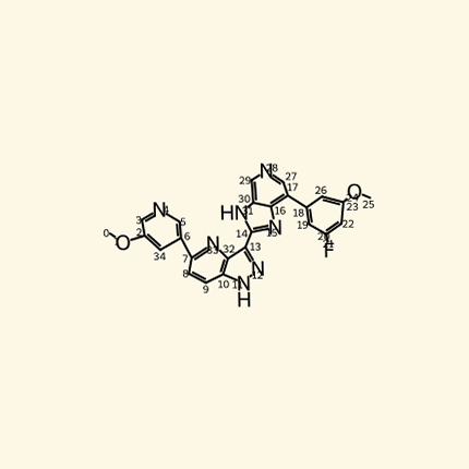 COc1cncc(-c2ccc3[nH]nc(-c4nc5c(-c6cc(F)cc(OC)c6)cncc5[nH]4)c3n2)c1